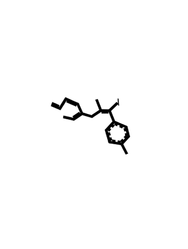 C=C/C=C\C(=C/C)C/C(C)=C(/I)c1ccc(C)cc1